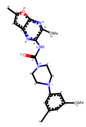 COc1cc(C)cc(N2CCN(C(=O)Nc3nc4cc(C)oc4nc3OC)CC2)c1